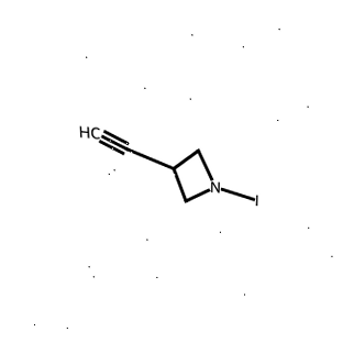 C#CC1CN(I)C1